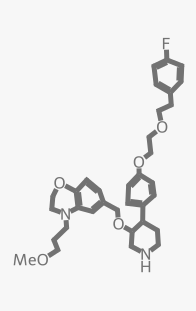 COCCCN1CCOc2ccc(COC3CNCCC3c3ccc(OCCOCCc4ccc(F)cc4)cc3)cc21